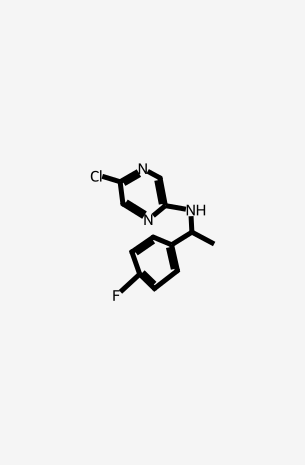 CC(Nc1cnc(Cl)cn1)c1ccc(F)cc1